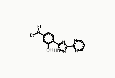 CCN(CC)c1ccc(-c2nc(-c3ncccn3)n[nH]2)c(O)c1